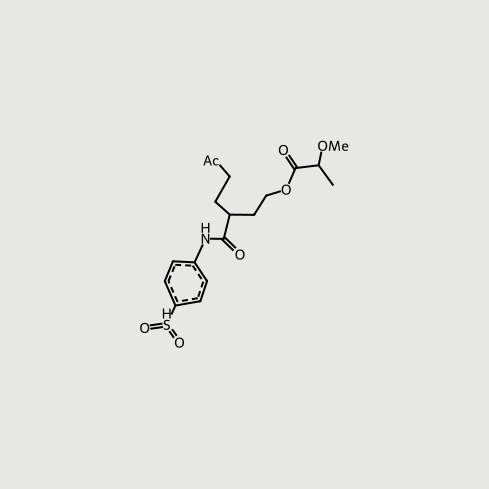 COC(C)C(=O)OCCC(CCC(C)=O)C(=O)Nc1ccc([SH](=O)=O)cc1